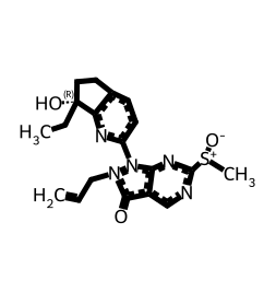 C=CCn1c(=O)c2cnc([S+](C)[O-])nc2n1-c1ccc2c(n1)[C@@](O)(CC)CC2